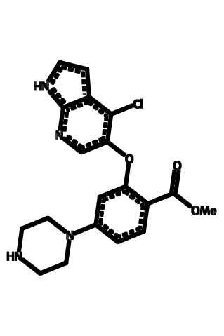 COC(=O)c1ccc(N2CCNCC2)cc1Oc1cnc2[nH]ccc2c1Cl